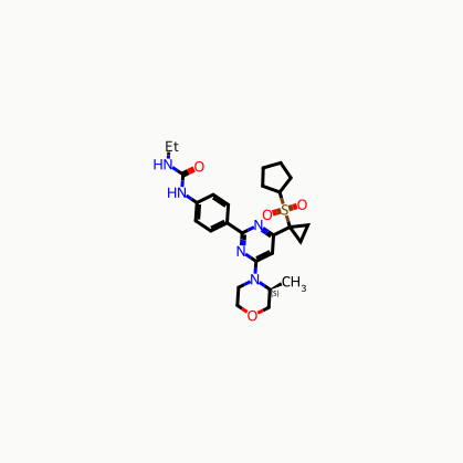 CCNC(=O)Nc1ccc(-c2nc(N3CCOC[C@@H]3C)cc(C3(S(=O)(=O)C4CCCC4)CC3)n2)cc1